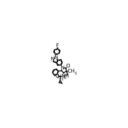 CCC1(C)C(=O)N(c2ccc3c(cnn3-c3ccc(F)cc3)c2)C(c2ccccc2)C1NC(=O)C1CC1